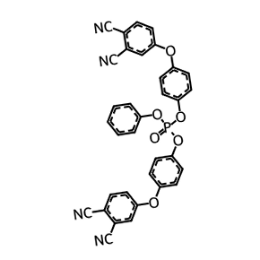 N#Cc1ccc(Oc2ccc(OP(=O)(Oc3ccccc3)Oc3ccc(Oc4ccc(C#N)c(C#N)c4)cc3)cc2)cc1C#N